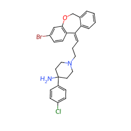 NC1(c2ccc(Cl)cc2)CCN(CCC=C2c3ccccc3COc3cc(Br)ccc32)CC1